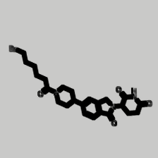 O=C1CCC(N2Cc3cc(C4CCN(C(=O)CCCCCBr)CC4)ccc3C2=O)C(=O)N1